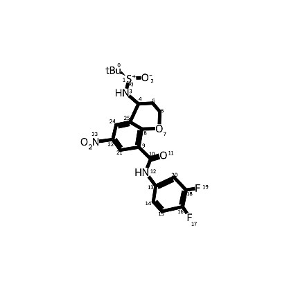 CC(C)(C)[S@+]([O-])NC1CCOc2c(C(=O)Nc3ccc(F)c(F)c3)cc([N+](=O)[O-])cc21